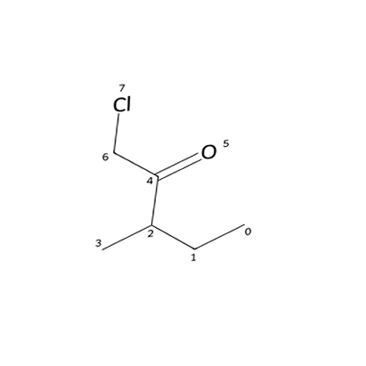 CCC(C)C(=O)CCl